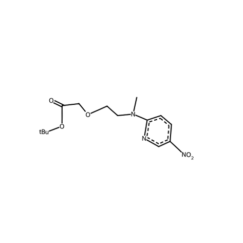 CN(CCOCC(=O)OC(C)(C)C)c1ccc([N+](=O)[O-])cn1